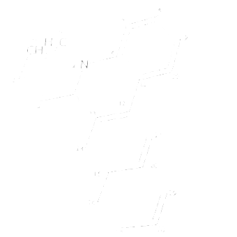 C/C=C\CN(C)c1ccccc1C1=CCC2C=CC=CC2=C1